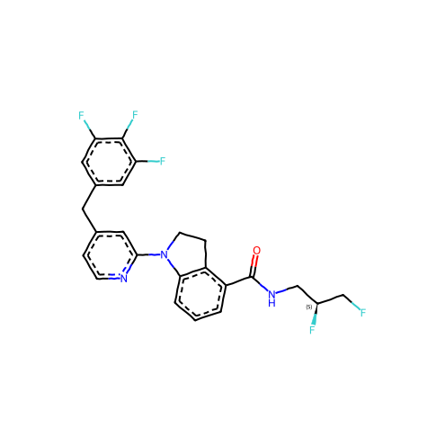 O=C(NC[C@H](F)CF)c1cccc2c1CCN2c1cc(Cc2cc(F)c(F)c(F)c2)ccn1